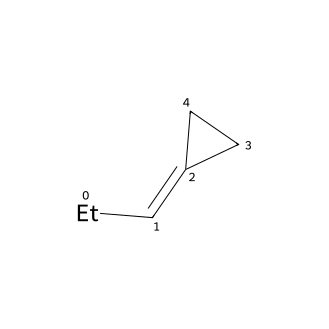 CCC=C1CC1